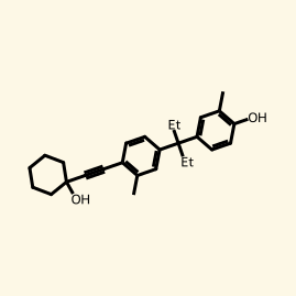 CCC(CC)(c1ccc(O)c(C)c1)c1ccc(C#CC2(O)CCCCC2)c(C)c1